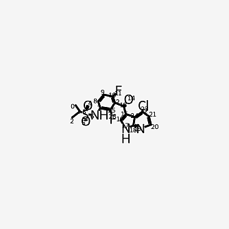 CC(C)S(=O)(=O)Nc1ccc(F)c(C(=O)c2c[nH]c3nccc(Cl)c23)c1F